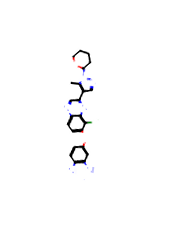 Cc1c(-c2cnc3ccc(Oc4ccc(N)c(N)c4)c(Cl)c3n2)cnn1C1CCCCO1